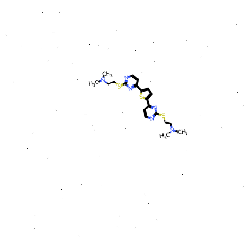 CN(C)CCSc1nccc(-c2ccc(-c3ccnc(SCCN(C)C)n3)s2)n1